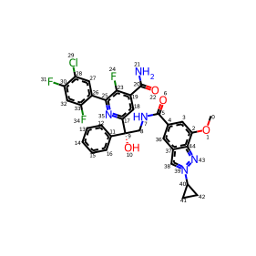 COc1cc(C(=O)NC[C@@](O)(c2ccccc2)c2cc(C(N)=O)c(F)c(-c3cc(Cl)c(F)cc3F)n2)cc2cn(C3CC3)nc12